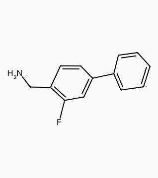 NCc1ccc(-c2c[c]ccc2)cc1F